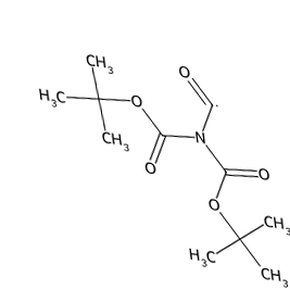 CC(C)(C)OC(=O)N([C]=O)C(=O)OC(C)(C)C